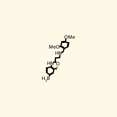 Bc1ccc(NC(=O)CCNCc2ccc(OC)cc2OC)c(F)c1